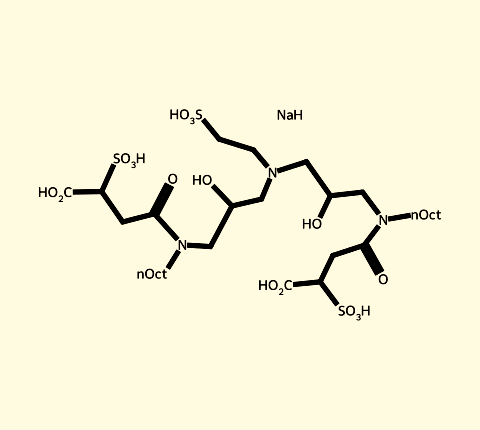 CCCCCCCCN(CC(O)CN(CCS(=O)(=O)O)CC(O)CN(CCCCCCCC)C(=O)CC(C(=O)O)S(=O)(=O)O)C(=O)CC(C(=O)O)S(=O)(=O)O.[NaH]